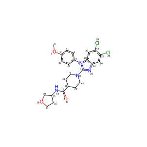 COc1ccc(-n2c(N3CCC(C(=O)NC4CCOC4)CC3)nc3cc(Cl)c(Cl)cc32)cc1